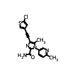 Cc1ccc(-n2c(C(N)=O)nc(C#Cc3csc(Cl)c3)c2C)cn1